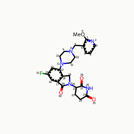 COc1ncccc1CN1CCN(c2cc(F)cc3c2CN(C2CCC(=O)NC2=O)C3=O)CC1